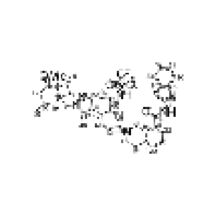 COC1=C2C(C)CC2(Cn2ncc(-c3ccc(N4CCc5cccc(C(=O)Nc6nc7ccccc7s6)c5C4)nc3C(=O)NS(=O)(=O)C(F)(F)F)c2C)CC(C)C1